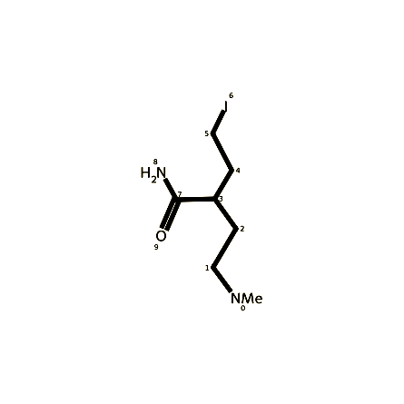 CNCCC(CCI)C(N)=O